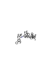 CC(CS(=O)(=O)CC(F)(F)F)NC(=O)c1ccc(/C(F)=C/C(c2ccc(Cl)c(F)c2)C(F)(F)F)cc1C(F)(F)F